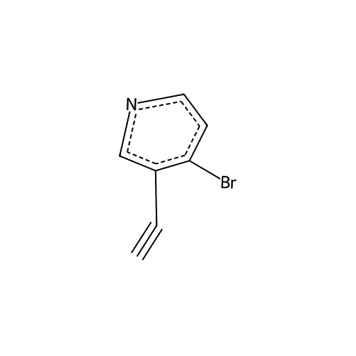 C#Cc1cnccc1Br